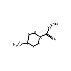 CC(C)(C)OC(=O)N1CCC([AsH2])CC1